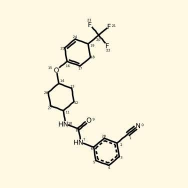 N#Cc1cccc(NC(=O)NC2CCC(OC3=CCC(C(F)(F)F)C=C3)CC2)c1